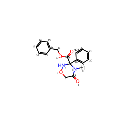 CCN1C(=O)CONC1(C(=O)OCc1ccccc1)c1ccccc1